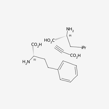 C#CC(=O)O.CC(C)C[C@@H](N)C(=O)O.N[C@@H](CCc1ccccc1)C(=O)O